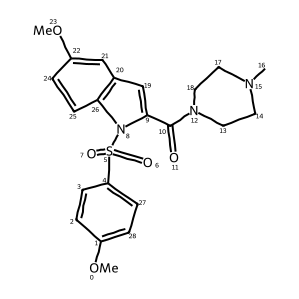 COc1ccc(S(=O)(=O)n2c(C(=O)N3CCN(C)CC3)cc3cc(OC)ccc32)cc1